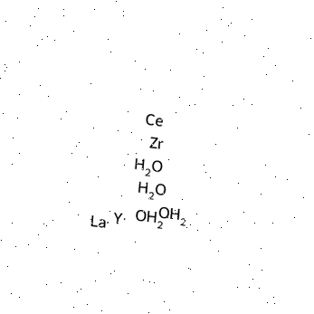 O.O.O.O.[Ce].[La].[Y].[Zr]